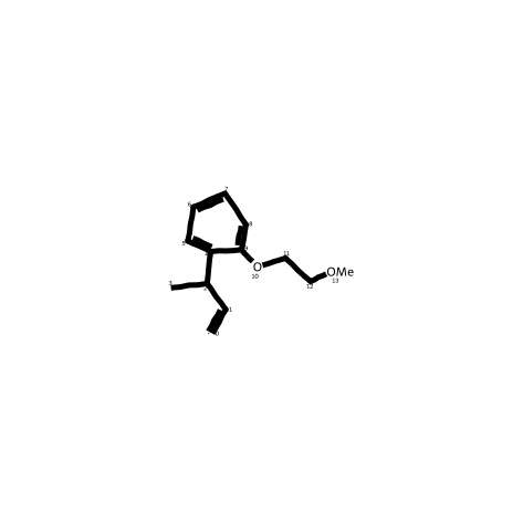 [CH]=CC(C)c1ccccc1OCCOC